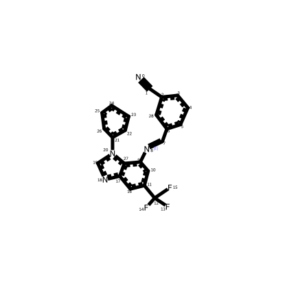 N#Cc1cccc(/C=N/c2cc(C(F)(F)F)cc3ncn(-c4ccccc4)c23)c1